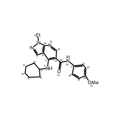 CCn1ncc2c(NC3CCCCC3)c(C(=O)Nc3ccc(OC)cc3)cnc21